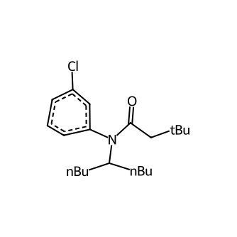 CCCCC(CCCC)N(C(=O)CC(C)(C)C)c1cccc(Cl)c1